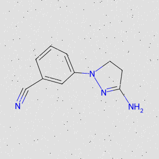 N#Cc1cccc(N2CCC(N)=N2)c1